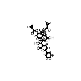 CC1(COC(=O)C2CC2)[C@@H](OC(=O)C2CC2)CC[C@]2(C)[C@@H]3C(Oc4cc(-c5cccnc5)oc(=O)c4[C@H]3O)C(O)C[C@@H]12